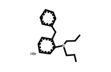 Br.CCCN(CCC)c1ccccc1Cc1ccccc1